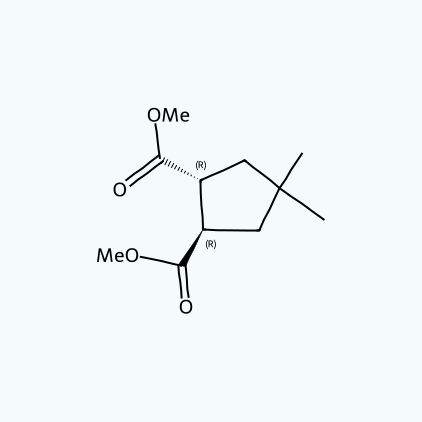 COC(=O)[C@@H]1CC(C)(C)C[C@H]1C(=O)OC